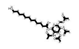 CC(=O)N[C@H]1[C@H](OC(=O)CCCCCCCCCCCO)O[C@H](COC(C)=O)[C@H](OC(C)=O)[C@@H]1OC(C)=O